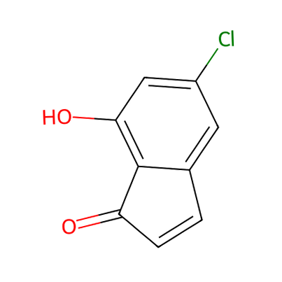 O=C1C=Cc2cc(Cl)cc(O)c21